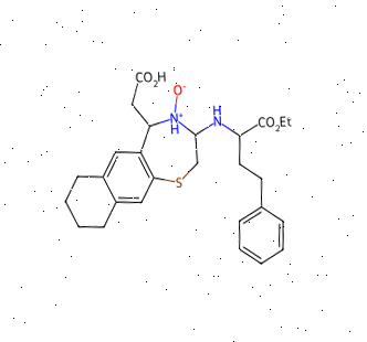 CCOC(=O)C(CCc1ccccc1)NC1CSc2cc3c(cc2C(CC(=O)O)[NH+]1[O-])CCCC3